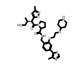 Cc1cc([C@@H](C(=O)N2CCCC2C(=O)NCc2ccc(-c3scnc3C)cc2OCCOC2CCNCC2)C(C)CO)on1